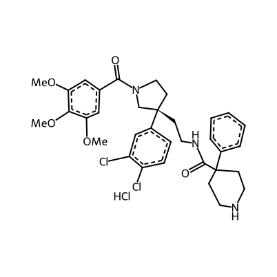 COc1cc(C(=O)N2CC[C@](CCNC(=O)C3(c4ccccc4)CCNCC3)(c3ccc(Cl)c(Cl)c3)C2)cc(OC)c1OC.Cl